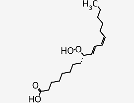 CCCCC/C=C\C=C[C@H](CCCCCCCC(=O)O)OO